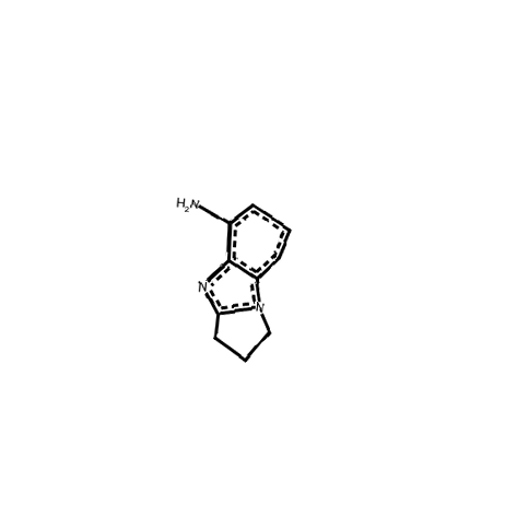 Nc1cccc2c1nc1n2CCC1